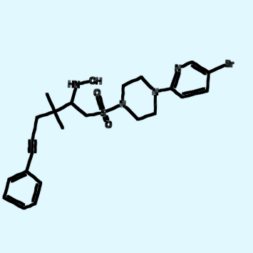 CC(C)(CC#Cc1ccccc1)C(CS(=O)(=O)N1CCN(c2ccc(Br)cn2)CC1)NO